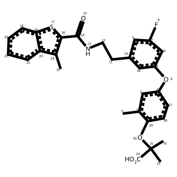 Cc1cc(Oc2cc(F)cc(CCNC(=O)c3sc4ccccc4c3C)c2)ccc1OC(C)(C)C(=O)O